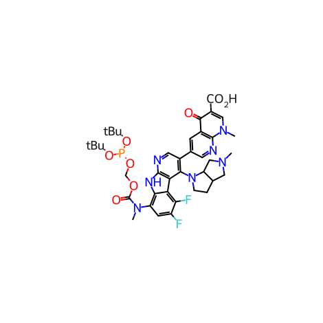 CN1CC2CCN(c3c(-c4cnc5c(c4)c(=O)c(C(=O)O)cn5C)cnc4[nH]c5c(N(C)C(=O)OCOP(OC(C)(C)C)OC(C)(C)C)cc(F)c(F)c5c34)C2C1